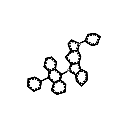 c1ccc(-c2c3ccccc3c(-n3c4ccccc4c4cc5c(ccn5-c5ccccc5)cc43)c3ccccc23)cc1